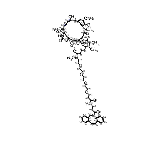 COc1cc2cc(c1Cl)N(C)C(=O)C[C@H](OC(=O)[C@H](C)N(C)C(=O)CCCC(=O)N(C)CCOCCOCCOCCOCCC(=O)NCCC(=O)N1Cc3ccccc3C#Cc3ccccc31)[C@]1(C)O[C@H]1[C@H](C)[C@@H]1C[C@@](O)(NC(=O)O1)[C@H](OC)/C=C/C=C(/C)C2